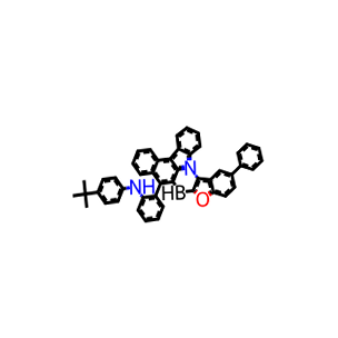 CC(C)(C)c1ccc(Nc2ccccc2-c2c3c4c(c5ccccc25)c2ccccc2n4-c2c(oc4ccc(-c5ccccc5)cc24)B3)cc1